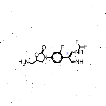 N=C/C(=C\NC(F)F)c1ccc(N2CC(CN)OC2=O)cc1F